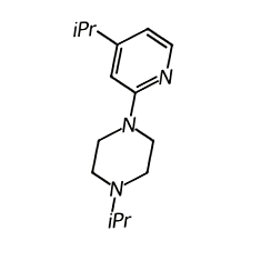 CC(C)c1ccnc(N2CCN(C(C)C)CC2)c1